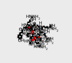 N=C(N)NCCC[C@H](NC(=O)CNC(=O)[C@@H](N)Cc1ccc(O)cc1)C(=O)NCC(=O)NCC(=O)N[C@@H](CCCNC(=N)N)C(=O)N[C@@H](CCCNC(=N)N)C(=O)N[C@@H](CCC(N)=O)C(=O)N[C@@H](CCCNC(=N)N)C(=O)N[C@@H](CCCNC(=N)N)C(=O)N[C@@H](CCCNC(=N)N)C(=O)N1CCC[C@H]1C(=O)N1CCC[C@H]1C(=O)O